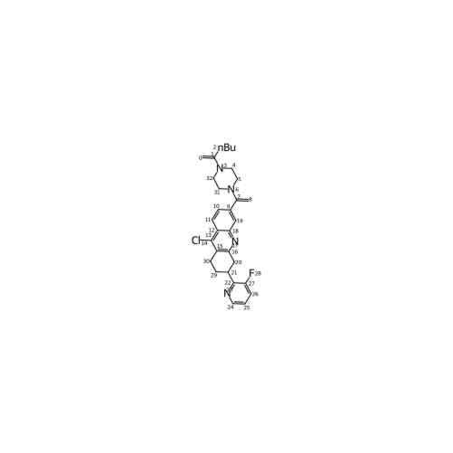 C=C(CCCC)N1CCN(C(=C)c2ccc3c(Cl)c4c(nc3c2)CC(c2ncccc2F)CC4)CC1